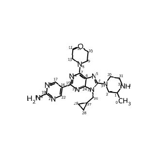 CC1CN(c2nc3c(N4CCOCC4)nc(-c4cnc(N)nc4)nc3n2CC2CC2)CCN1